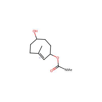 CNC(=O)OC1/C=C(\C)CCC(O)CC1